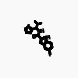 CC(C)C(NC(=O)c1cc2cc(F)ccc2[nH]1)c1cccs1